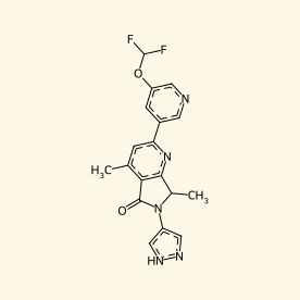 Cc1cc(-c2cncc(OC(F)F)c2)nc2c1C(=O)N(c1cn[nH]c1)C2C